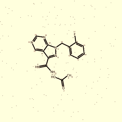 CC(=O)O.N=C(N)c1nn(Cc2ccccc2F)c2ncncc12